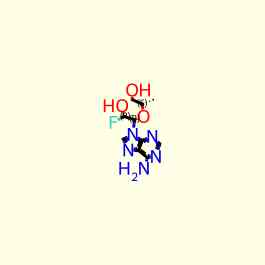 C[C@@H](CO)O[C@H]([C@H](O)F)n1cnc2c(N)ncnc21